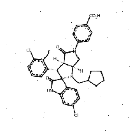 O=C(O)c1ccc(N2C[C@@H]3[C@H](C2=O)[C@@H](c2cccc(Cl)c2F)[C@@]2(C(=O)Nc4cc(Cl)ccc42)N3CC2CCCC2)cc1